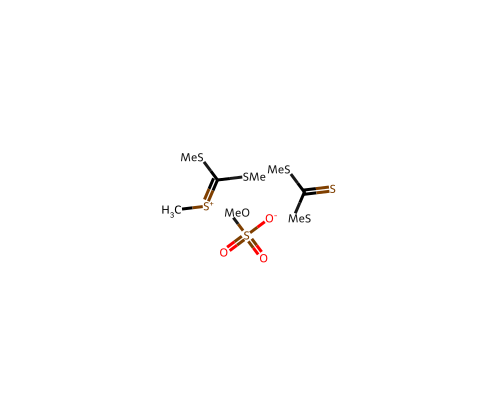 COS(=O)(=O)[O-].CSC(=S)SC.CSC(SC)=[S+]C